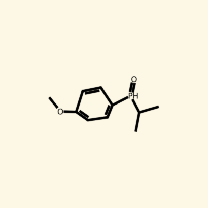 COc1ccc([PH](=O)C(C)C)cc1